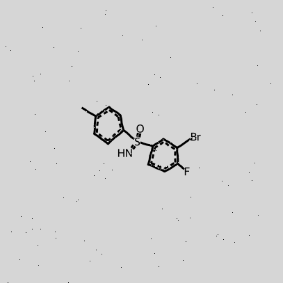 Cc1ccc(S(=N)(=O)c2ccc(F)c(Br)c2)cc1